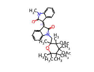 CC(=O)OC1(C)C(C)(CN2C(=O)/C(=C3/C(=O)N(C)c4ccccc43)c3ccccc32)OC(C)(C)C(C)(C)C1(C)OC(C)=O